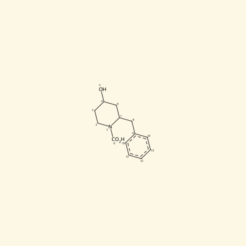 O=C(O)N1CCC(O)CC1Cc1ccccc1